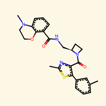 Cc1cccc(-c2sc(C)nc2C(=O)N2CC[C@@H]2CNC(=O)c2cccc3c2OCCN3C)c1